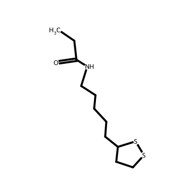 CCC(=O)NCCCCCC1CCSS1